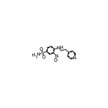 NS(=O)(=O)c1ccc(NCCc2ccncc2)c(N=O)c1